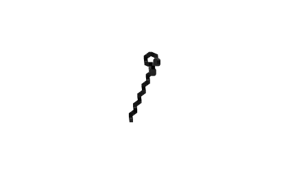 CCCCCCCCCCON1CCCCO1